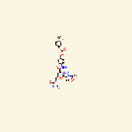 CCC(=O)NC(C)C(=O)NC(CCCNC(N)=O)C(=O)Nc1ccc(COC(=O)Oc2ccc([N+](=O)[O-])cc2)cc1